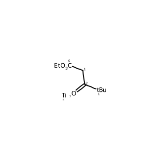 CCOC(=O)CC(=O)C(C)(C)C.[Ti]